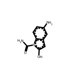 NC(=O)n1c(O)cc2cc(N)ccc21